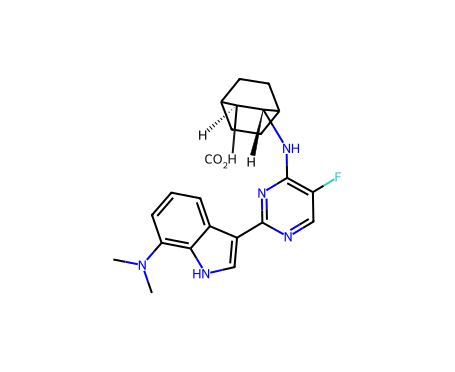 CN(C)c1cccc2c(-c3ncc(F)c(N[C@H]4C5CCC(CC5)[C@@H]4C(=O)O)n3)c[nH]c12